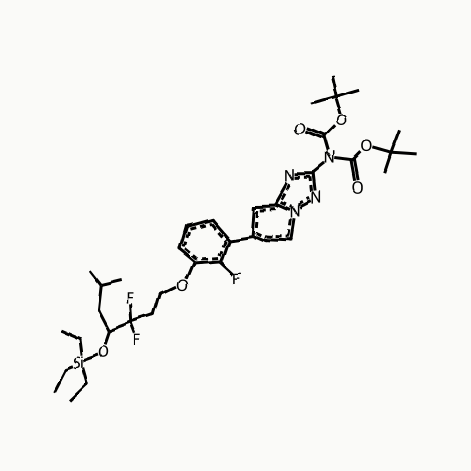 CC[Si](CC)(CC)OC(CC(C)C)C(F)(F)CCOc1cccc(-c2ccn3nc(N(C(=O)OC(C)(C)C)C(=O)OC(C)(C)C)nc3c2)c1F